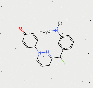 CCN(C(=O)O)c1cccc(C(F)C2=NN(C3C=CC(=O)C=C3)C=CC2)c1